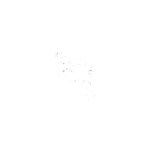 Cc1cccc(C)c1-c1cc2nc(n1)NS(=O)(=O)c1cccc(c1)C(=O)N(CC(C)NC(=O)OC(C)(C)C)[C@H](CC1(C(F)(F)F)CC1)CO2